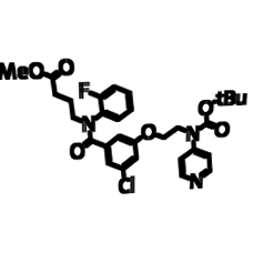 COC(=O)CCCN(C(=O)c1cc(Cl)cc(OCCN(C(=O)OC(C)(C)C)c2ccncc2)c1)c1ccccc1F